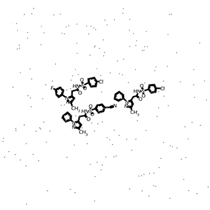 Cc1cc(CC(=O)NS(=O)(=O)c2ccc(C#N)cc2)n(-c2ccccc2)n1.Cc1cc(CC(=O)NS(=O)(=O)c2ccc(Cl)cc2)n(-c2ccc(F)cc2)n1.Cc1cc(CC(=O)NS(=O)(=O)c2ccc(Cl)cc2)n(-c2ccccc2)n1